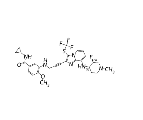 COc1ccc(C(=O)NC2CC2)cc1NCC#Cc1nc2c(N[C@@H]3CCN(C)C[C@@H]3F)cccn2c1SC(F)(F)F